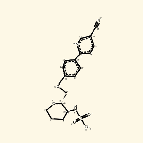 CS(=O)(=O)N[C@H]1CCCO[C@@H]1COc1ccc(-c2ccc(C#N)cn2)cc1